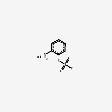 Cl.Nc1ccccc1.O=S(=O)(F)F